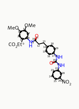 CCOC(=O)c1cc(OC)c(OC)cc1NC(=O)CCc1ccc(NC(=O)Nc2cccc([N+](=O)[O-])c2)cc1